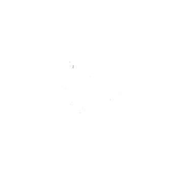 Nc1c(C(=O)O)c(=O)[nH]c2cc(Cl)ccc12